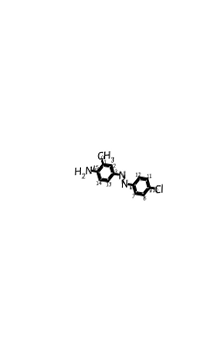 Cc1cc(/N=N/c2ccc(Cl)cc2)ccc1N